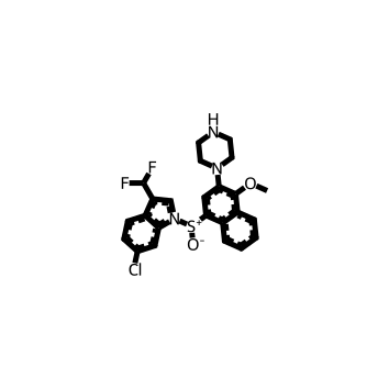 COc1c(N2CCNCC2)cc([S+]([O-])n2cc(C(F)F)c3ccc(Cl)cc32)c2ccccc12